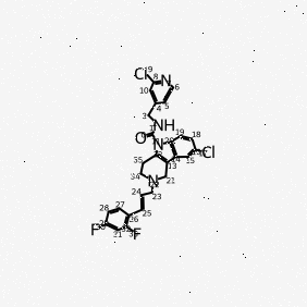 O=C(NCc1ccnc(Cl)c1)n1c2c(c3cc(Cl)ccc31)CN(CC=Cc1ccc(F)cc1F)CC2